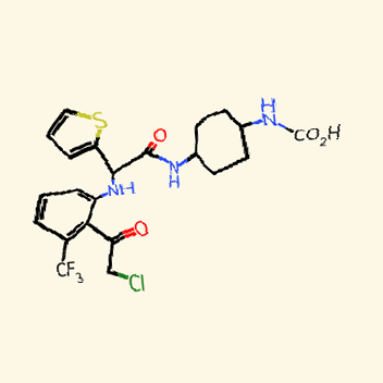 O=C(O)NC1CCC(NC(=O)C(Nc2cccc(C(F)(F)F)c2C(=O)CCl)c2cccs2)CC1